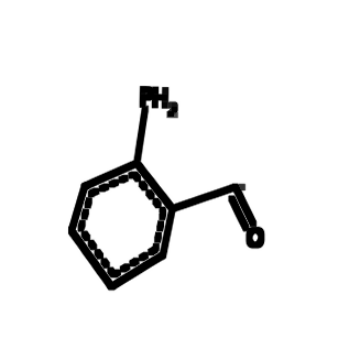 O=[C]c1ccccc1P